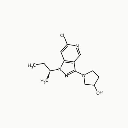 CC[C@H](C)n1nc(N2CCC(O)C2)c2cnc(Cl)cc21